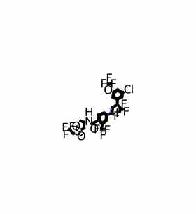 CC(CS(=O)(=O)CC(F)(F)F)NC(=O)c1ccc(/C(F)=C/C(c2cc(Cl)cc(OC(F)(F)F)c2)C(F)(F)F)cc1C(F)(F)F